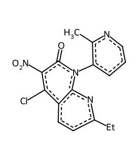 CCc1ccc2c(Cl)c([N+](=O)[O-])c(=O)n(-c3cccnc3C)c2n1